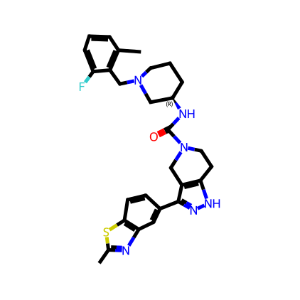 Cc1nc2cc(-c3n[nH]c4c3CN(C(=O)N[C@@H]3CCCN(Cc5c(C)cccc5F)C3)CC4)ccc2s1